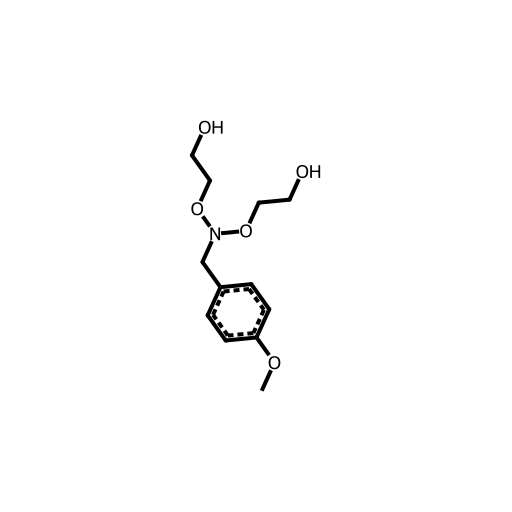 COc1ccc(CN(OCCO)OCCO)cc1